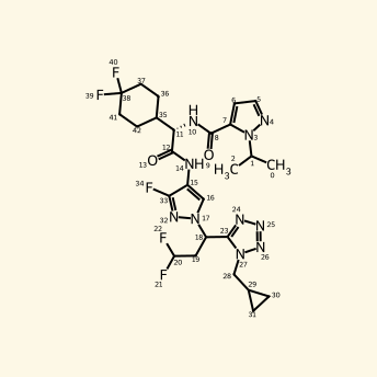 CC(C)n1nccc1C(=O)N[C@H](C(=O)Nc1cn(C(CC(F)F)c2nnnn2CC2CC2)nc1F)C1CCC(F)(F)CC1